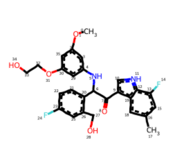 COc1cc(NC(C(=O)c2c[nH]c3c(F)cc(C)cc23)c2ccc(F)cc2CO)cc(OCCO)c1